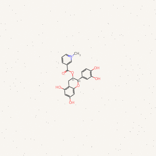 C[n+]1cccc(C(=O)O[C@@H]2Cc3c(O)cc(O)cc3O[C@@H]2c2ccc(O)c(O)c2)c1